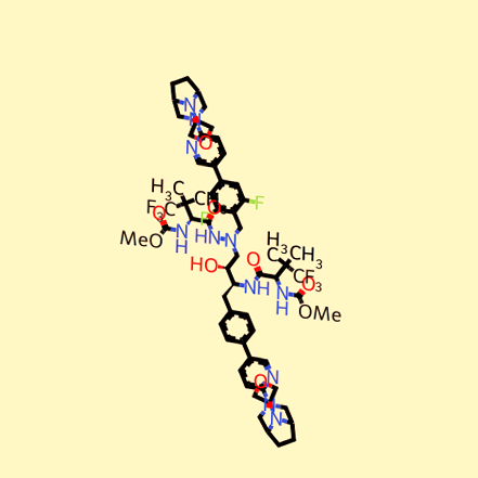 COC(=O)NC(C(=O)N[C@@H](Cc1ccc(-c2ccc(N3CC4CCC(C3)N4C3COC3)nc2)cc1)[C@@H](O)CN(Cc1c(F)cc(-c2ccc(N3CC4CCC(C3)N4C3COC3)nc2)cc1F)NC(=O)[C@@H](NC(=O)OC)C(C)(C)C(F)(F)F)C(C)(C)C(F)(F)F